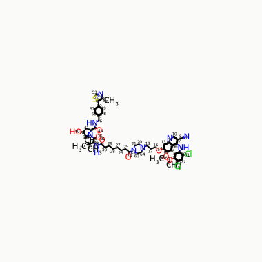 COc1cc(Nc2c(C#N)cnc3cc(OCCCN4CCN(C(=O)CCCCCCC(=O)N[C@H](C(=O)N5CC(O)CC5C(=O)NCc5ccc(-c6scnc6C)cc5)C(C)(C)C)CC4)c(OC)cc23)c(Cl)cc1Cl